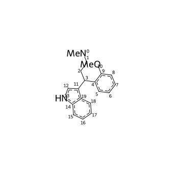 CNCCC(c1ccccc1OC)c1c[nH]c2ccccc12